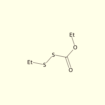 CCOC(=O)SSCC